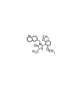 COc1cccc(OC)c1C1SC(C)C(=O)N1Cc1ccc2ncccc2c1